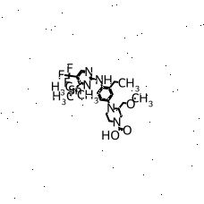 CCc1cc(N2CCN(C(=O)O)CC2COC)ccc1Nc1ncc(C(F)(F)F)[c]([Sn]([CH3])([CH3])[CH3])n1